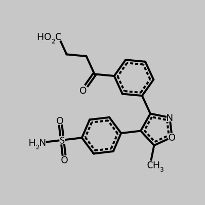 Cc1onc(-c2cccc(C(=O)CCC(=O)O)c2)c1-c1ccc(S(N)(=O)=O)cc1